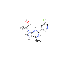 CNc1nc(-c2cncc(F)c2)nc2c1ncn2C(C)CO